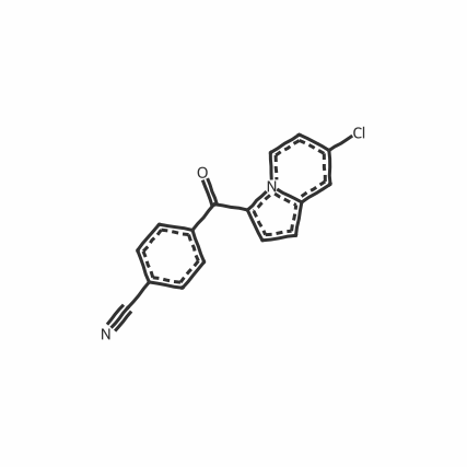 N#Cc1ccc(C(=O)c2ccc3cc(Cl)ccn23)cc1